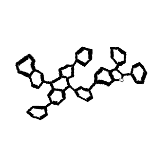 c1ccc(-c2ccc3c(-c4ccc5ccccc5c4)c4cc(-c5ccccc5)ccc4c(-c4cccc(-c5ccc6c(c5)OC(c5ccccc5)C6c5ccccc5)c4)c3c2)cc1